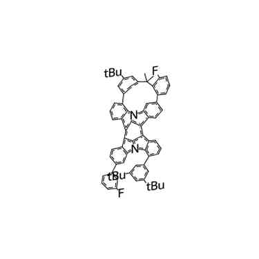 CC(C)(C)c1cc(-c2cccc3c4c5c6ccc7cc6n6c8c(cccc8c(c8c9ccc(-c%10cccc(F)c%10)cc9n(c23)c84)c56)-c2cc(C(C)(C)C)cc(c2)C(C)(C)c2c(F)cccc2-7)cc(C(C)(C)C)c1